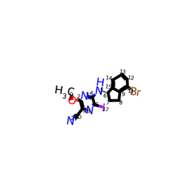 COc1nc(N[C@H]2CCc3c(Br)cccc32)c(I)nc1C#N